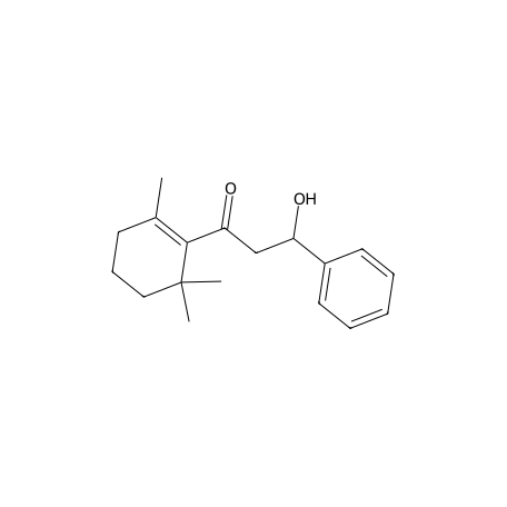 CC1=C(C(=O)CC(O)c2ccccc2)C(C)(C)CCC1